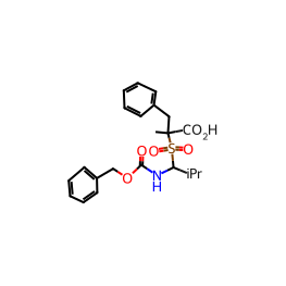 CC(C)C(NC(=O)OCc1ccccc1)S(=O)(=O)C(C)(Cc1ccccc1)C(=O)O